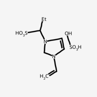 C=CN1C=CN(C(CC)S(=O)(=O)O)C1.O=S(=O)(O)O